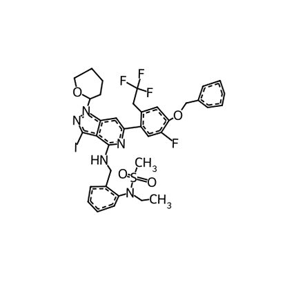 CCN(c1ccccc1CNc1nc(-c2cc(F)c(OCc3ccccc3)cc2CC(F)(F)F)cc2c1c(I)nn2C1CCCCO1)S(C)(=O)=O